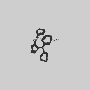 C1=CC[C]([Hf+2][C]2=C(C(c3ccccc3)c3ccccc3)C=CC2)=C1.[H-].[H-]